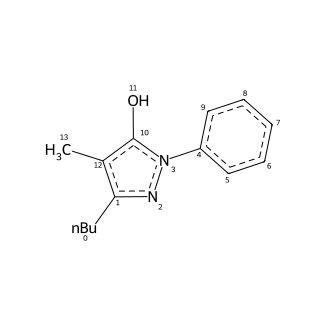 CCCCc1nn(-c2ccccc2)c(O)c1C